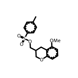 COc1cccc2c1CC(COS(=O)(=O)c1ccc(C)cc1)CO2